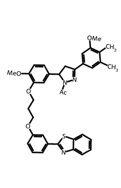 COc1ccc(C2CC(c3cc(C)c(C)c(OC)c3)=NN2C(C)=O)cc1OCCCOc1cccc(-c2nc3ccccc3s2)c1